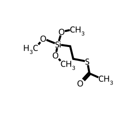 CO[Si](CCSC(C)=O)(OC)OC